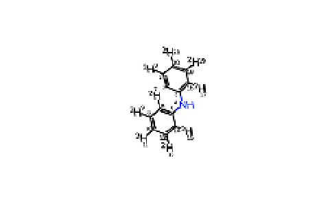 [2H]c1cc(Nc2c([2H])c([2H])c([2H])c([2H])c2[2H])c([2H])c([2H])c1[2H]